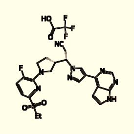 CCS(=O)(=O)c1ccc(F)c(N2CC[C@H]([C@H](CC#N)n3cc(-c4ncnc5[nH]ccc45)cn3)C2)n1.O=C(O)C(F)(F)F